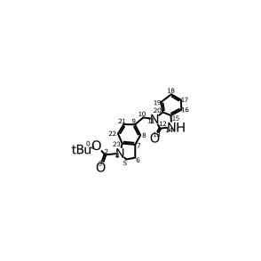 CC(C)(C)OC(=O)N1CCc2cc(Cn3c(=O)[nH]c4ccccc43)ccc21